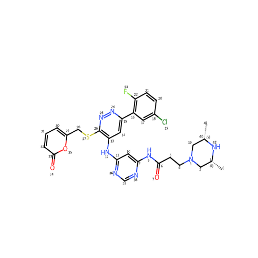 C[C@@H]1CN(CCC(=O)Nc2cc(Nc3cc(-c4cc(Cl)ccc4F)nnc3SCc3cccc(=O)o3)ncn2)C[C@H](C)N1